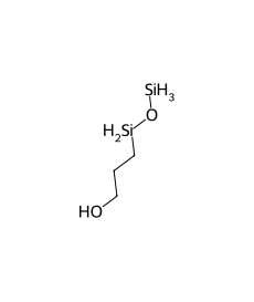 OCCC[SiH2]O[SiH3]